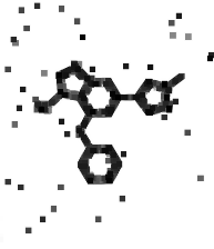 Cn1cc(-c2cc(Sc3ccccc3)c3c(C#N)cnn3c2)cn1